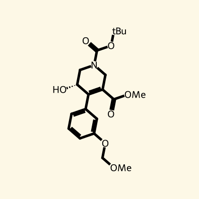 COCOc1cccc(C2=C(C(=O)OC)CN(C(=O)OC(C)(C)C)C[C@H]2O)c1